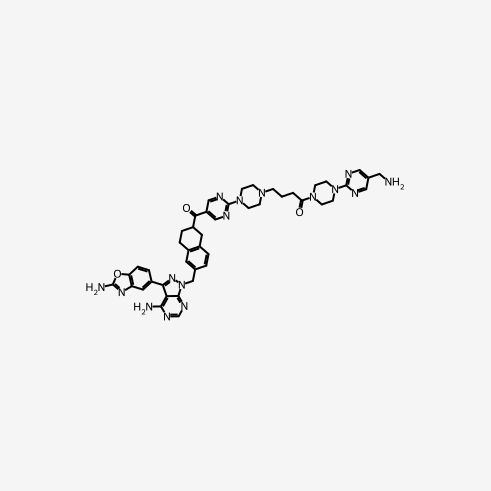 NCc1cnc(N2CCN(C(=O)CCCN3CCN(c4ncc(C(=O)C5CCc6cc(Cn7nc(-c8ccc9oc(N)nc9c8)c8c(N)ncnc87)ccc6C5)cn4)CC3)CC2)nc1